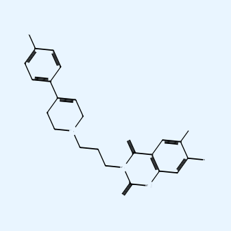 O=c1[nH]c2cc(F)c(F)cc2c(=O)n1CCCN1CC=C(c2ccc(Cl)cc2)CC1